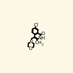 Cc1[nH]c(=O)c2cc(Cl)ccc2c1CN1CCOCC1